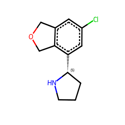 Clc1cc2c(c([C@@H]3CCCN3)c1)COC2